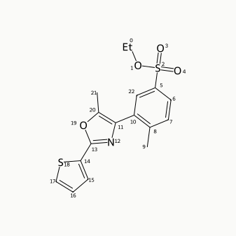 CCOS(=O)(=O)c1ccc(C)c(-c2nc(-c3cccs3)oc2C)c1